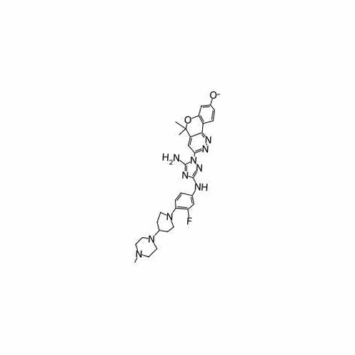 COc1ccc2c(c1)OC(C)(C)c1cc(-n3nc(Nc4ccc(N5CCC(N6CCN(C)CC6)CC5)c(F)c4)nc3N)nnc1-2